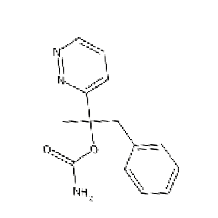 CC(Cc1ccccc1)(OC(N)=O)c1cccnn1